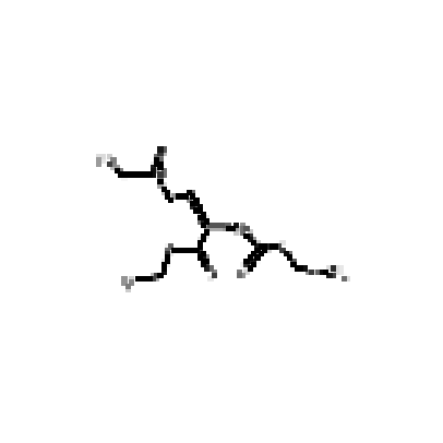 CCOC(=O)NC(=CC[PH](=O)CO)C(=O)OCC